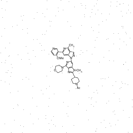 COc1ccncc1-c1cc2c(cnn2-c2cc3c(nc(C4CCN(C(C)=O)CC4)n3C)c(N3CCOCC3)n2)c(C)n1